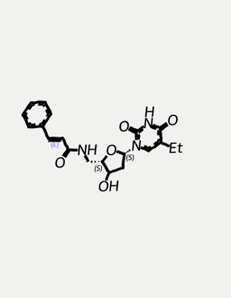 CCc1cn([C@@H]2CC(O)[C@H](CNC(=O)/C=C/c3ccccc3)O2)c(=O)[nH]c1=O